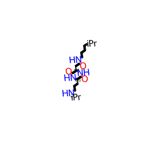 CC(C)CCCCNC(=O)C[C@H]1NC(=O)[C@@H](CCCNC(C)C)NC1=O